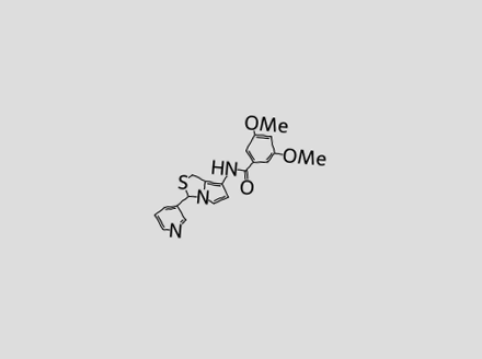 COc1cc(OC)cc(C(=O)Nc2ccn3c2CSC3c2cccnc2)c1